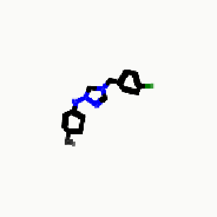 O=[N+]([O-])c1ccc(NN2CN(Cc3ccc(Cl)cc3)C=N2)cc1